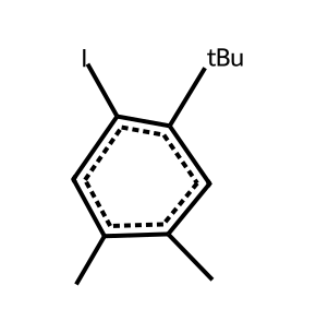 Cc1cc(I)c(C(C)(C)C)cc1C